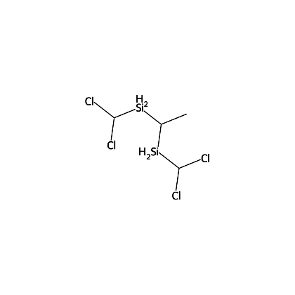 CC([SiH2]C(Cl)Cl)[SiH2]C(Cl)Cl